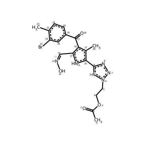 CC(=O)OCCn1nnc(-c2[nH]c(/C=N\O)c(C(=O)c3ccc(C)c(Br)c3)c2C)n1